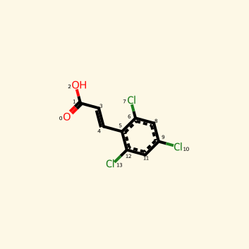 O=C(O)/C=C/c1c(Cl)cc(Cl)cc1Cl